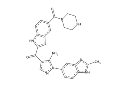 Cc1nc2cc(-n3ncc(C(=O)c4cc5cc(C(=O)N6CCNCC6)ccc5[nH]4)c3N)ccc2[nH]1